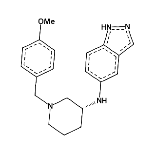 COc1ccc(CN2CCC[C@@H](Nc3ccc4[nH]ncc4c3)C2)cc1